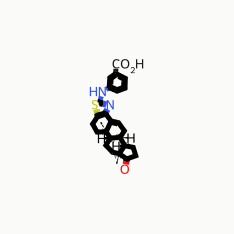 C[C@]12CCc3sc(Nc4cccc(C(=O)O)c4)nc3C1=CC[C@@H]1[C@@H]2CC[C@]2(C)C(=O)CC[C@@H]12